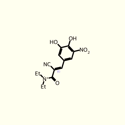 CC[N+](CC)C(=O)/C(C#N)=C/c1cc(O)c(O)c([N+](=O)[O-])c1